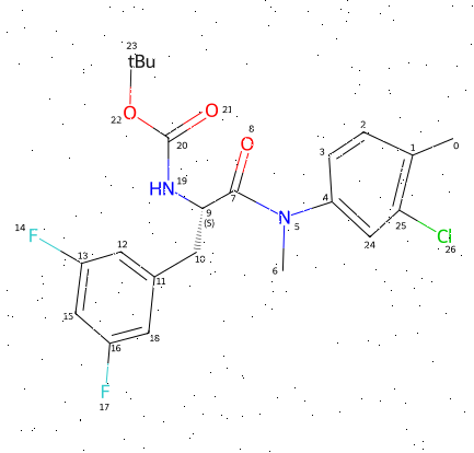 Cc1ccc(N(C)C(=O)[C@H](Cc2cc(F)cc(F)c2)NC(=O)OC(C)(C)C)cc1Cl